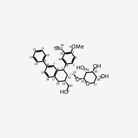 COc1ccc([C@@H]2c3cc(-c4ccccc4)ccc3C[C@H](CO)[C@H]2CO[C@@H]2OC[C@@H](O)[C@H](O)[C@H]2O)cc1C(C)(C)C